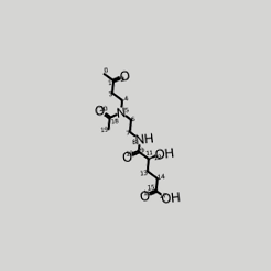 CC(=O)CCN(CCNC(=O)[C@@H](O)CCC(=O)O)C(C)=O